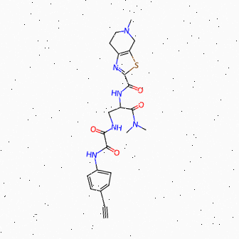 C#Cc1ccc(NC(=O)C(=O)NCC(NC(=O)c2nc3c(s2)CN(C)CC3)C(=O)N(C)C)cc1